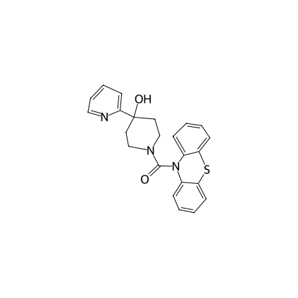 O=C(N1CCC(O)(c2ccccn2)CC1)N1c2ccccc2Sc2ccccc21